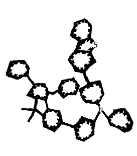 CC1(C)c2ccc(-c3cccc(N(c4ccccc4)c4ccc(-c5ccc6c(c5)sc5ccccc56)cc4)c3)cc2-c2c(-c3ccccc3)cc(-c3ccccc3)cc21